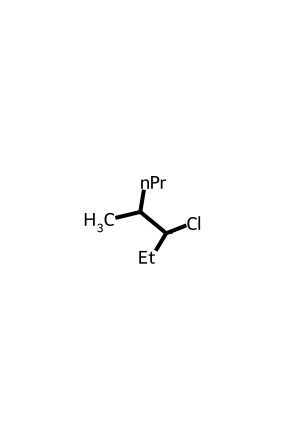 CCCC(C)[C](Cl)CC